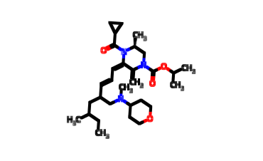 C=C1/C(=C\C=C\C(CC(C)CC)CN(C)C2CCOCC2)N(C(=O)C2CC2)[C@@H](C)CN1C(=O)OC(C)C